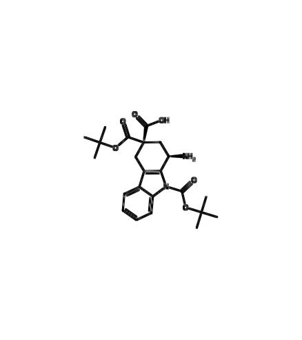 CC(C)(C)OC(=O)n1c2c(c3ccccc31)C[C@](C(=O)O)(C(=O)OC(C)(C)C)C[C@H]2N